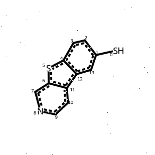 Sc1ccc2sc3cnccc3c2c1